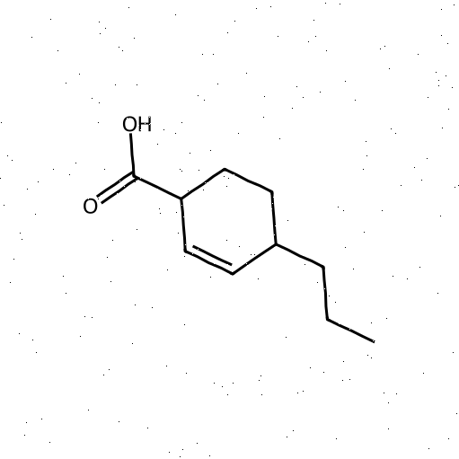 CCCC1C=CC(C(=O)O)CC1